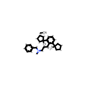 CC#N.CN(CCCc1c(C2(C(F)(F)F)CCCC2)cccc1C1(C(F)(F)F)CCCC1)Cc1ccccc1